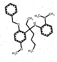 CCCCC(CC)(Pc1ccccc1N(C)C)c1cc(OC)ccc1OCc1ccccc1